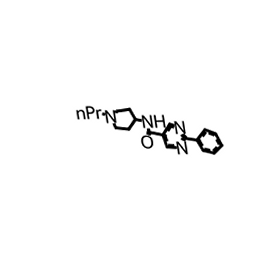 CCCN1CCC(NC(=O)c2cnc(-c3ccccc3)nc2)CC1